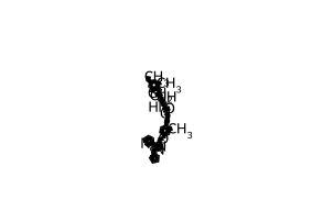 C=C1CC(CC)CC(C)C1CC(=O)NCCNC(=O)OCC#Cc1ccc(OCc2nnc(SC3CCCC3)n2-c2cccnc2)cc1C